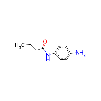 CCCC(=O)Nc1ccc(N)cc1